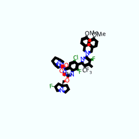 COc1ccc(CN(Cc2ccc(OC)cc2)c2nc(-c3c(Cl)cc4c(N5CC6CCC(C5)N6C(=O)OC(C)(C)C)nc(OC[C@@]56CCCN5C[C@H](F)C6)nc4c3F)c(C(F)(F)F)c(C)c2F)cc1